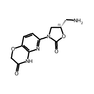 NC[C@H]1CN(c2ccc3c(n2)NC(=O)CO3)C(=O)O1